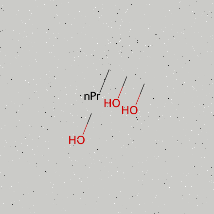 CCCC.CO.CO.CO